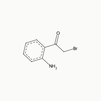 Nc1ccccc1C(=O)CBr